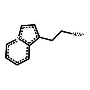 CNCCc1ccn2ccccc12